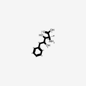 C[C@@](N)(C(=O)O)C(O)C(O)Cc1ccccc1